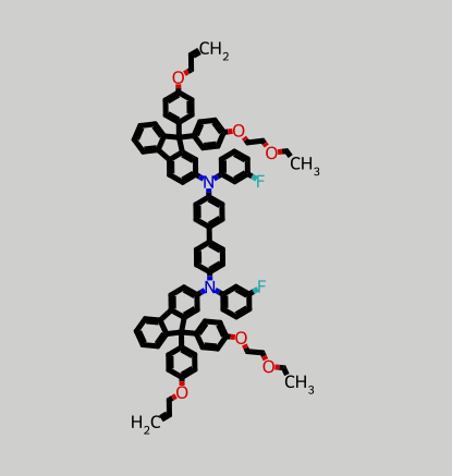 C=CCOc1ccc(C2(c3ccc(OCCOCC)cc3)c3ccccc3-c3ccc(N(c4ccc(-c5ccc(N(c6cccc(F)c6)c6ccc7c(c6)C(c6ccc(OCC=C)cc6)(c6ccc(OCCOCC)cc6)c6ccccc6-7)cc5)cc4)c4cccc(F)c4)cc32)cc1